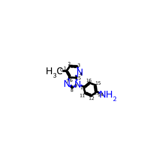 Cc1ccnc2c1ncn2-c1ccc(N)cc1